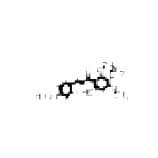 COc1ccc(C=CC(=O)c2c(O)cc(OC)c(OC)c2OC)cc1